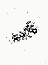 C#C[C@](COP(=O)(N[C@@H](Cc1ccccc1)C(=O)OCCCCCCCC)OCC(=O)OCCCCCCCC)(OC)[C@@H](O)Cn1cnc2c(N)nc(F)nc21